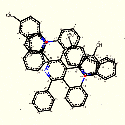 CC(C)(C)c1ccc2c(c1)c1ccccc1n2-c1ccccc1-c1c(-c2ccccc2)nc(-c2ccccc2)c(-c2ccccc2-n2c3ccccc3c3cc(C(C)(C)C)ccc32)c1-c1ccc(C#N)c(C#N)c1